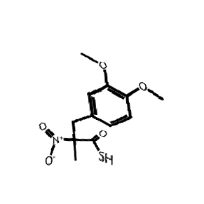 COc1ccc(CC(C)(C(=O)S)[N+](=O)[O-])cc1OC